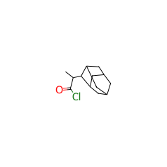 CC(C(=O)Cl)C1C2CC3CC(C2)CC1C3